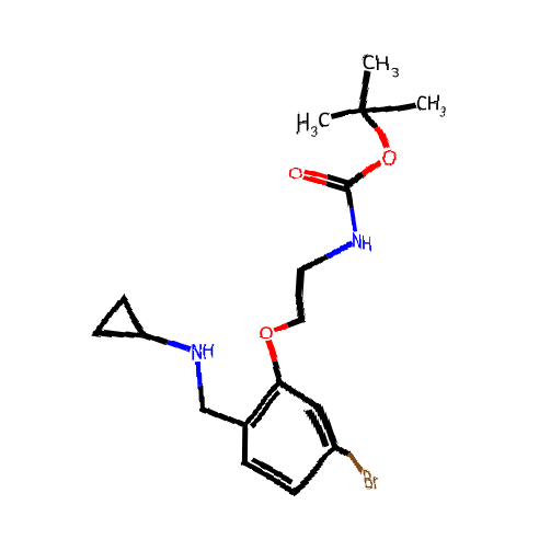 CC(C)(C)OC(=O)NCCOc1cc(Br)ccc1CNC1CC1